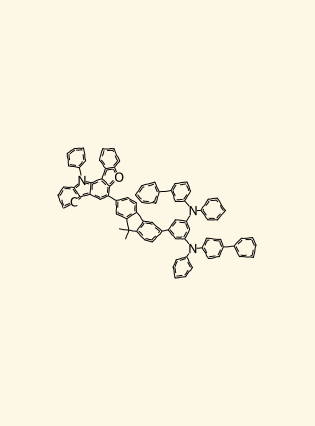 CC1(C)c2ccc(-c3cc(N(c4ccccc4)c4ccc(-c5ccccc5)cc4)cc(N(c4ccccc4)c4cccc(-c5ccccc5)c4)c3)cc2-c2ccc(-c3cc4c5ccccc5n(-c5ccccc5)c4c4c3oc3ccccc34)cc21